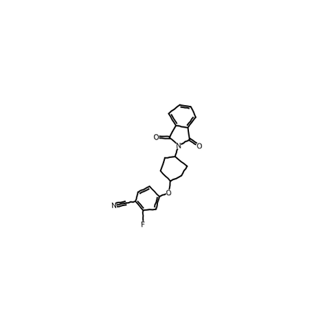 N#Cc1ccc(OC2CCC(N3C(=O)c4ccccc4C3=O)CC2)cc1F